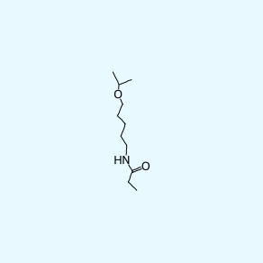 CCC(=O)NCCCCCOC(C)C